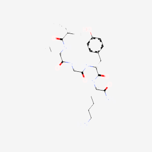 CC(=O)N[C@@H](C)C(=O)N[C@@H](CC(=O)O)C(=O)N[C@H](C(=O)N[C@@H](Cc1ccc(O)cc1)C(=O)N[C@@H](CCCCN)C(N)=O)C(C)C